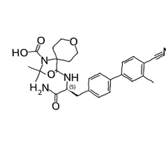 Cc1cc(-c2ccc(C[C@H](NC(=O)C3(N(C(=O)O)C(C)(C)C)CCOCC3)C(N)=O)cc2)ccc1C#N